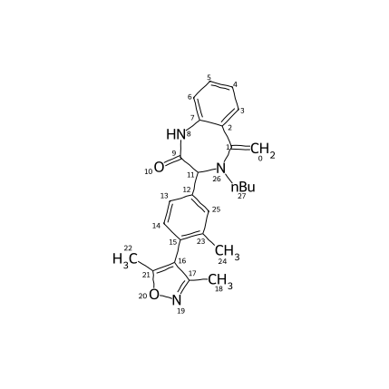 C=C1c2ccccc2NC(=O)C(c2ccc(-c3c(C)noc3C)c(C)c2)N1CCCC